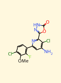 COc1c(Cl)ccc(-c2cc(N)c(Cl)c(-c3n[nH]c(=O)o3)n2)c1F